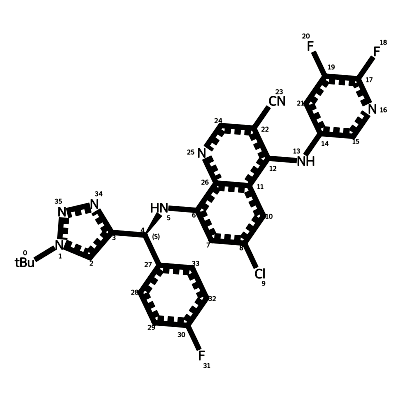 CC(C)(C)n1cc([C@@H](Nc2cc(Cl)cc3c(Nc4cnc(F)c(F)c4)c(C#N)cnc23)c2ccc(F)cc2)nn1